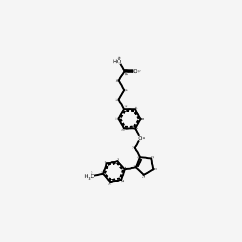 Cc1ccc(C2=C(COc3ccc(CCCC(=O)O)cc3)CCC2)cc1